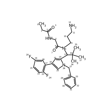 CCC(=O)NCC(=O)N(CCCN)C(c1cc(-c2cc(F)ccc2F)cn1Cc1ccccc1)C(C)(C)C